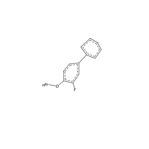 CCCOc1ccc(-c2cc[c]cc2)cc1F